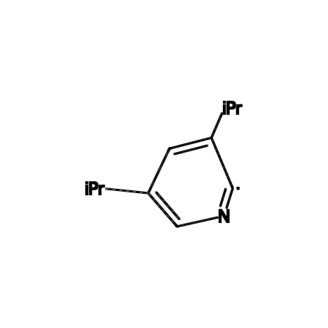 CC(C)c1[c]ncc(C(C)C)c1